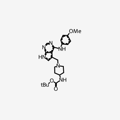 COc1ccc(Nc2ncnc3[nH]cc(CN4CCC(NC(=O)OC(C)(C)C)CC4)c23)cc1